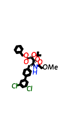 COCC(=O)N[C@H](Cc1ccc(-c2cc(Cl)cc(Cl)c2)cc1)[C@H]1OC(C)(C)O[C@@H]1C(=O)OCc1ccccc1